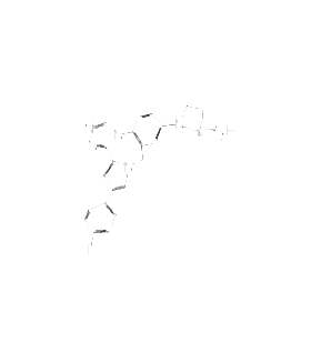 CN[C@@H]1CCN(c2ccc3c(c2)Cn2cc(-c4ccc(F)cc4)cc2-c2nncn2-3)C1